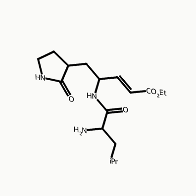 CCOC(=O)C=CC(CC1CCNC1=O)NC(=O)C(N)CC(C)C